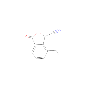 CCc1cccc2c1C(C#N)OC2=O